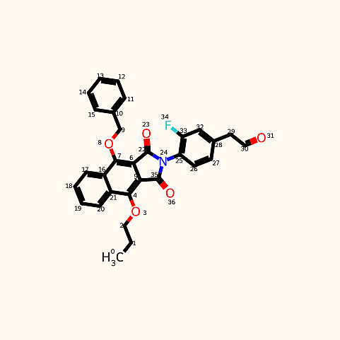 CCCOc1c2c(c(OCc3ccccc3)c3ccccc13)C(=O)N(c1ccc(CC=O)cc1F)C2=O